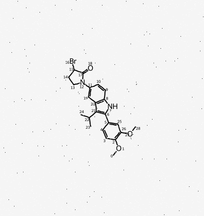 COc1ccc(-c2[nH]c3ccc(N4CCC(Br)C4=O)cc3c2C(C)C)cc1OC